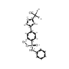 CCOP(=O)(Nc1ccccc1)c1ccc(-c2noc(C(F)(F)Cl)n2)cc1